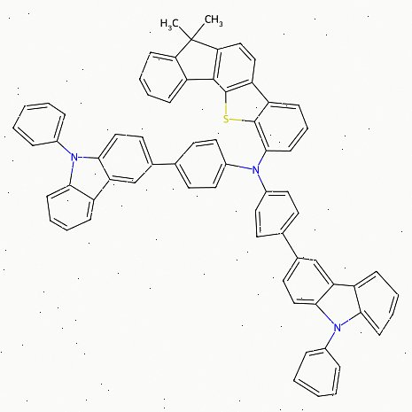 CC1(C)c2ccccc2-c2c1ccc1c2sc2c(N(c3ccc(-c4ccc5c(c4)c4ccccc4n5-c4ccccc4)cc3)c3ccc(-c4ccc5c(c4)c4ccccc4n5-c4ccccc4)cc3)cccc21